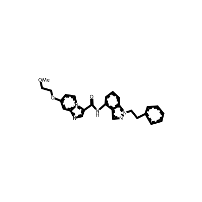 COCCOc1ccn2c(C(=O)Nc3cccc4c3cnn4CCc3ccccc3)cnc2c1